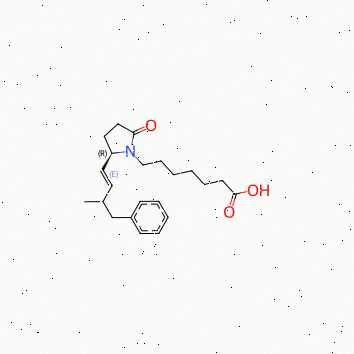 CC(/C=C/[C@H]1CCC(=O)N1CCCCCCC(=O)O)Cc1ccccc1